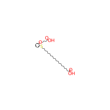 O=C(O)CCCCCCCCCCCCCCCCCCCSc1ccccc1OCCCC(=O)O